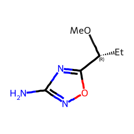 CC[C@@H](OC)c1nc(N)no1